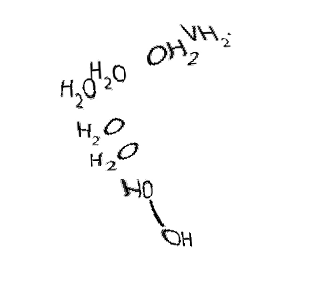 O.O.O.O.O.OO.[VH2]